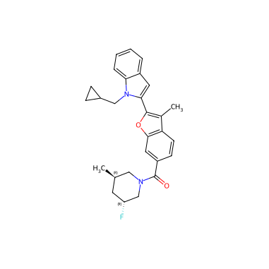 Cc1c(-c2cc3ccccc3n2CC2CC2)oc2cc(C(=O)N3C[C@H](C)C[C@@H](F)C3)ccc12